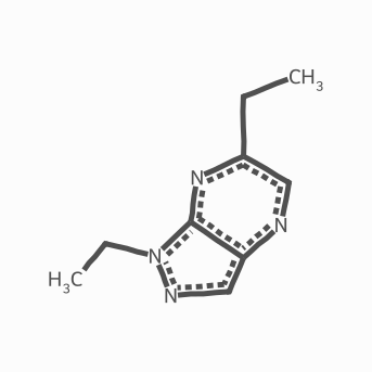 CCc1cnc2cnn(CC)c2n1